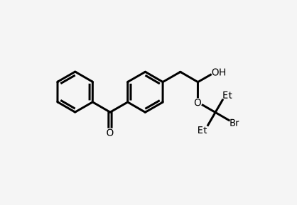 CCC(Br)(CC)OC(O)Cc1ccc(C(=O)c2ccccc2)cc1